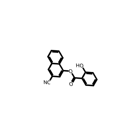 N#Cc1cc(OC(=O)c2ccccc2O)c2ccccc2c1